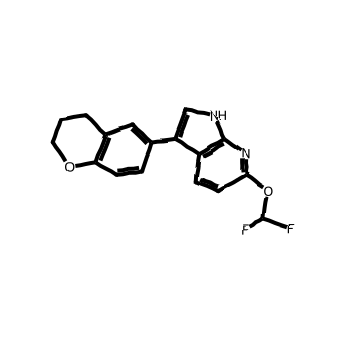 FC(F)Oc1ccc2c(-c3ccc4c(c3)CCCO4)c[nH]c2n1